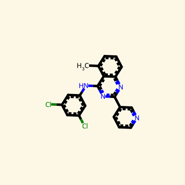 Cc1cccc2nc(-c3cccnc3)nc(Nc3cc(Cl)cc(Cl)c3)c12